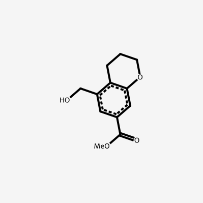 COC(=O)c1cc(CO)c2c(c1)OCCC2